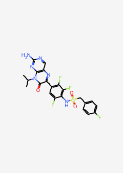 CC(C)n1c(=O)c(-c2cc(F)c(NS(=O)(=O)Cc3ccc(F)cc3)c(F)c2F)nc2cnc(N)nc21